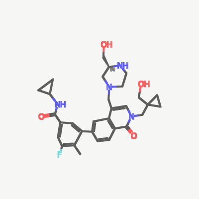 Cc1c(F)cc(C(=O)NC2CC2)cc1-c1ccc2c(=O)n(CC3(CO)CC3)cc(CN3CCN[C@H](CO)C3)c2c1